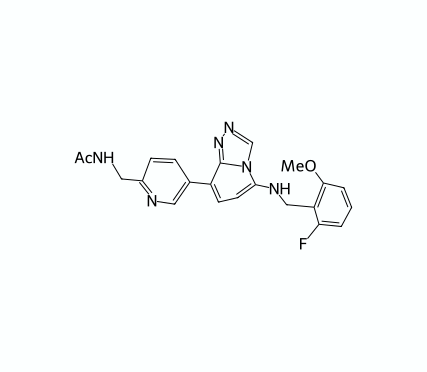 COc1cccc(F)c1CNc1ccc(-c2ccc(CNC(C)=O)nc2)c2nncn12